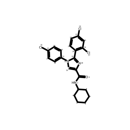 O=C(NC1CCCCC1)C1=IN(c2ccc(Cl)cc2)C(c2ccc(Cl)cc2Cl)=N1